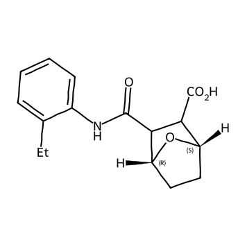 CCc1ccccc1NC(=O)C1C(C(=O)O)[C@@H]2CC[C@H]1O2